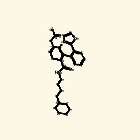 CC1=C(c2ccccc2-c2ncco2)C(C(=O)NCCCCC2CCCCC2)CC=C1CC(=O)O